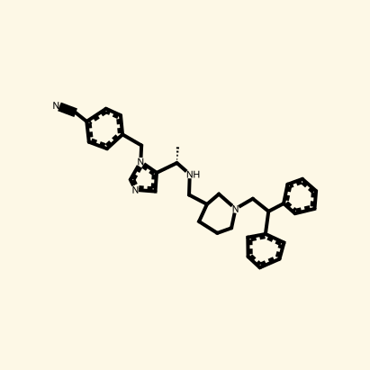 C[C@H](NCC1CCCN(CC(c2ccccc2)c2ccccc2)C1)c1cncn1Cc1ccc(C#N)cc1